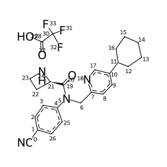 N#Cc1ccc(N(Cc2ccc(C3CCCCC3)cn2)C(=O)[C@H]2CCN2)cc1.O=C(O)C(F)(F)F